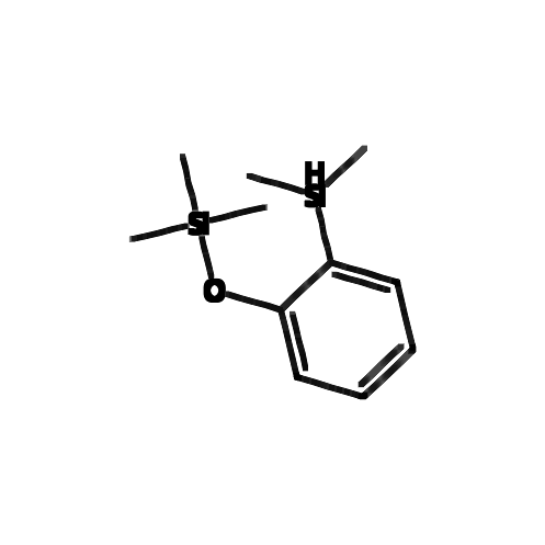 C[SiH](C)c1ccccc1O[Si](C)(C)C